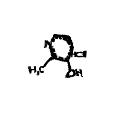 Cc1ncccc1O.Cl